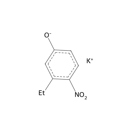 CCc1cc([O-])ccc1[N+](=O)[O-].[K+]